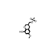 COc1cc(O)c2c(c1)CC(COS(C)(=O)=O)CO2